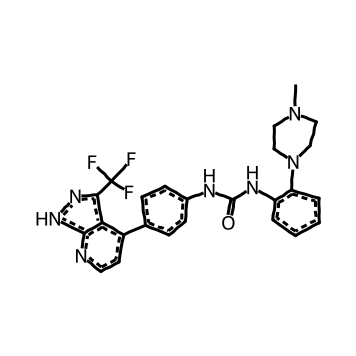 CN1CCN(c2ccccc2NC(=O)Nc2ccc(-c3ccnc4[nH]nc(C(F)(F)F)c34)cc2)CC1